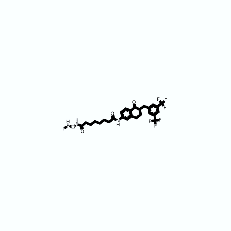 O=C(CCCCCCC(=O)Nc1ccc2c(c1)CCC(Cc1cc(C(F)(F)F)cc(C(F)(F)F)c1)C2=O)NOPI